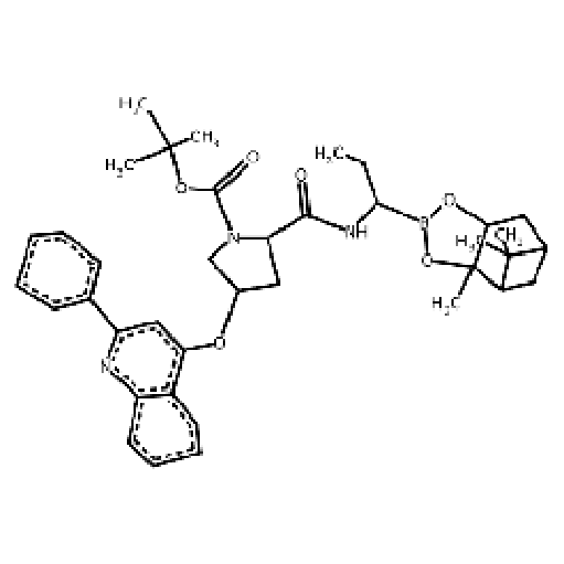 CCC(NC(=O)C1CC(Oc2cc(-c3ccccc3)nc3ccccc23)CN1C(=O)OC(C)(C)C)B1OC2CC3CC(C3(C)C)C2(C)O1